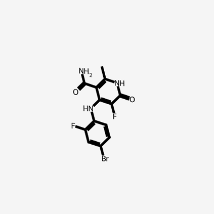 Cc1[nH]c(=O)c(F)c(Nc2ccc(Br)cc2F)c1C(N)=O